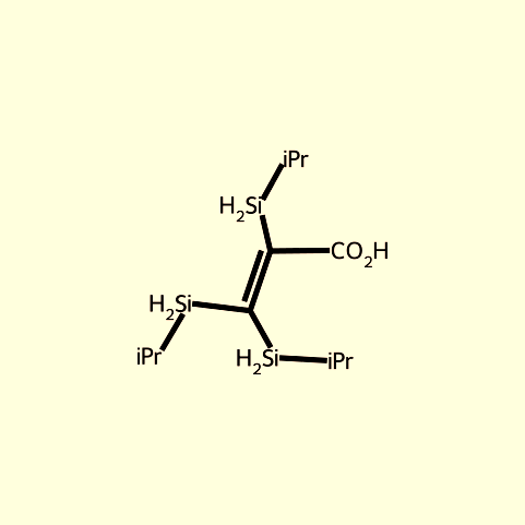 CC(C)[SiH2]C([SiH2]C(C)C)=C([SiH2]C(C)C)C(=O)O